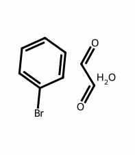 Brc1ccccc1.O.O=CC=O